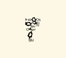 CCC1(CC)CN(c2ccccc2NC(=O)Nc2ccc(C(C)(C)C)cc2)c2c(O)ccc(C#N)c21